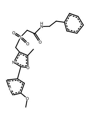 COc1cccc(-c2nc(CS(=O)(=O)CC(=O)NCCc3ccccc3)c(C)o2)c1